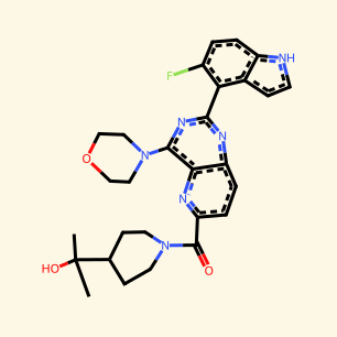 CC(C)(O)C1CCN(C(=O)c2ccc3nc(-c4c(F)ccc5[nH]ccc45)nc(N4CCOCC4)c3n2)CC1